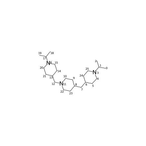 CC(C)N1CCC(CC2CCN(CC3CCN(C(C)C)CC3)CC2)CC1